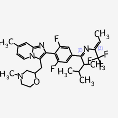 C/C=C(\N=C(\c1cc(F)c(-c2nc3cc(C)ccn3c2CC2CN(C)CCO2)c(F)c1)C(C)C(C)C)C(F)(F)F